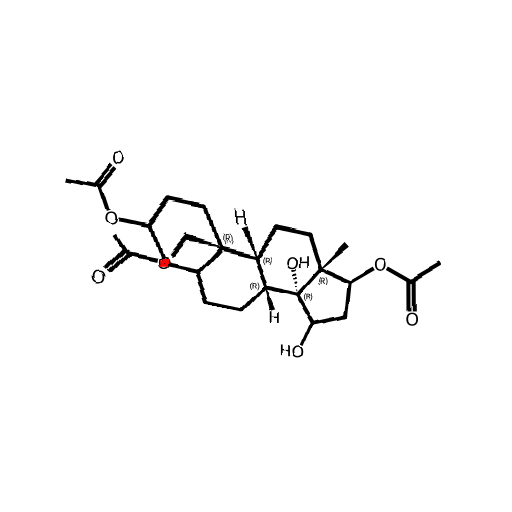 CC(=O)OC[C@]12CCC(OC(C)=O)CC1CC[C@@H]1[C@H]2CC[C@]2(C)C(OC(C)=O)CC(O)[C@@]12O